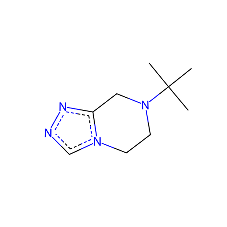 CC(C)(C)N1CCn2cnnc2C1